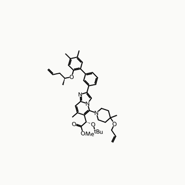 C=CCOC1(C)CCN(c2c([C@H](OC(C)(C)C)C(=O)OC)c(C)cc3nc(-c4cccc(-c5cc(C)c(C)cc5O[C@@H](C)CC=C)c4)cn23)CC1